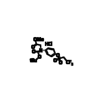 COC(=O)CN(C(=O)OC(C)(C)C)c1ccc(OS(=O)(=O)CC(F)(F)F)cc1.Cl